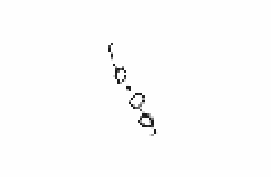 CCCCc1ccc(C#C[C@H]2CC[C@H](c3ccc(CC)cc3)CC2)cc1